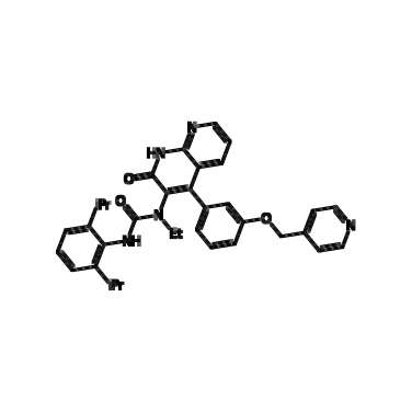 CCN(C(=O)Nc1c(C(C)C)cccc1C(C)C)c1c(-c2cccc(OCc3ccncc3)c2)c2cccnc2[nH]c1=O